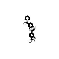 O=C1N=Cc2cc(-c3cnc4ccc(C(=O)N5CCCCC5)cc4n3)ccc21